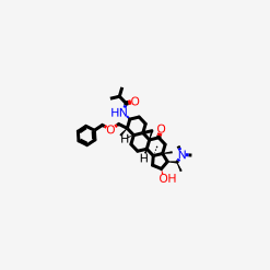 CC(C)C(=O)N[C@H]1CCC23C[C@]24C(=O)C[C@]2(C)[C@@H]([C@H](C)N(C)C)[C@H](O)C[C@@]2(C)[C@@H]4CC[C@H]3[C@]1(C)COCc1ccccc1